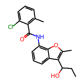 CCC(O)c1c(C)oc2c(NC(=O)c3c(C)cccc3Cl)cccc12